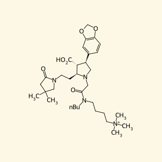 CCCCN(CCCC[N+](C)(C)C)C(=O)CN1C[C@H](c2ccc3c(c2)OCO3)[C@@H](C(=O)O)[C@@H]1CCN1CC(C)(C)CC1=O